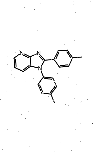 Cc1ccc(-c2nc3ncccc3n2-c2ccc(C)cc2)cc1